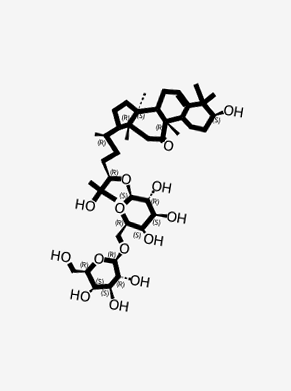 C[C@H](CC[C@@H](O[C@@H]1O[C@H](CO[C@@H]2O[C@H](CO)[C@@H](O)[C@H](O)[C@H]2O)[C@@H](O)[C@H](O)[C@H]1O)C(C)(C)O)C1CC[C@@]2(C)C3CC=C4C(CC[C@H](O)C4(C)C)[C@]3(C)C(=O)C[C@]12C